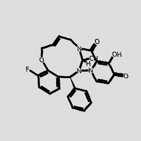 C[C@H]1N2C/C=C/COc3c(F)cccc3[C@H](c3ccccc3)N1n1ccc(=O)c(O)c1C2=O